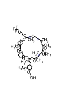 CO[C@@H]1C[C@H](C[C@@H](C)[C@@H]2CC(=O)[C@H](C)/C=C(\C)[C@@H](O)[C@@H](OC)C(=O)[C@H](C)C[C@H](C)/C=C/CC/C=C(\C)[C@@H](OCCOCC(F)(F)F)C[C@@H]3CC[C@@H](C)[C@@](O)(O3)C(=O)C(=O)N3CCCC[C@H]3C(=O)O2)CC[C@H]1OCCO